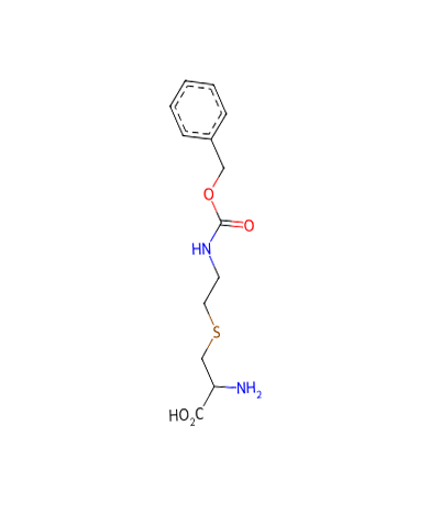 NC(CSCCNC(=O)OCc1ccccc1)C(=O)O